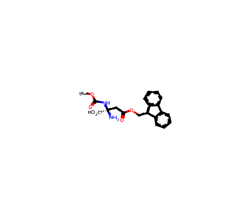 CC(C)(C)OC(=O)N[C@](N)(CC(=O)OCC1c2ccccc2-c2ccccc21)C(=O)O